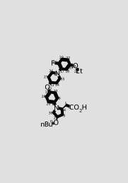 CCCCO[C@@H]1C[C@H](CC(=O)O)N(c2ccc(OC3CCN(c4cc(OCC)ccc4F)CC3)cc2)C1